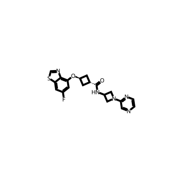 O=C(NC1CN(c2cnccn2)C1)[C@H]1C[C@H](Oc2cc(F)cc3scnc23)C1